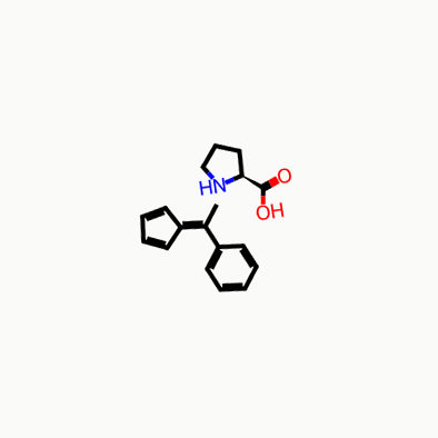 CC(=C1C=CC=C1)c1ccccc1.O=C(O)[C@@H]1CCCN1